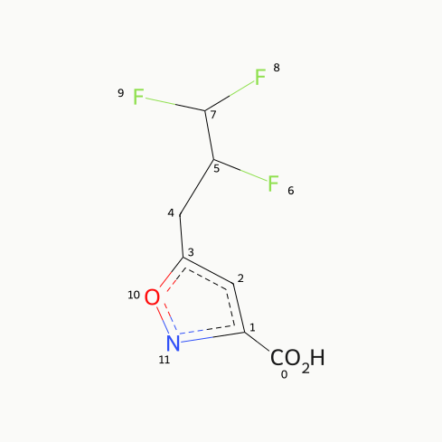 O=C(O)c1cc(CC(F)C(F)F)on1